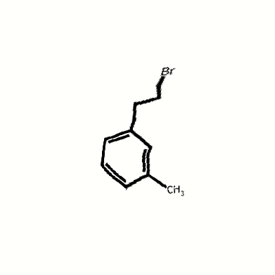 Cc1[c]ccc(CCBr)c1